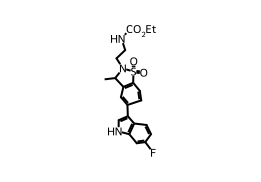 CCOC(=O)NCCN1C(C)c2cc(-c3c[nH]c4cc(F)ccc34)ccc2S1(=O)=O